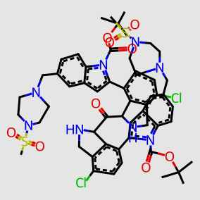 CC(C)(C)OC(=O)n1c(-c2ccc(Cl)c3c2C(C(=O)C2NCc4c(Cl)ccc(-c5cc6cc(CN7CCN(S(C)(=O)=O)CC7)ccc6n5C(=O)OC(C)(C)C)c42)NC3)cc2cc(CN3CCN(S(C)(=O)=O)CC3)ccc21